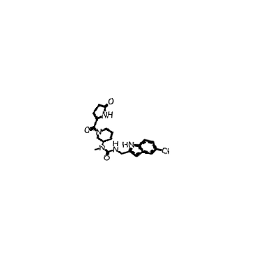 CN(C(=O)NCc1cc2cc(Cl)ccc2[nH]1)[C@@H]1CCCN(C(=O)C2CCC(=O)N2)C1